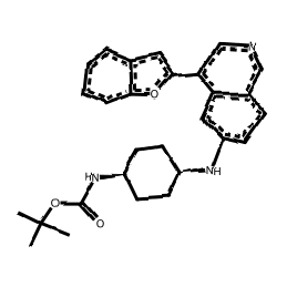 CC(C)(C)OC(=O)N[C@H]1CC[C@@H](Nc2ccc3cncc(-c4cc5ccccc5o4)c3c2)CC1